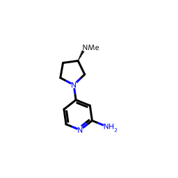 CN[C@@H]1CCN(c2ccnc(N)c2)C1